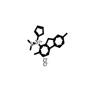 Cc1ccc2c(c1)Cc1c-2ccc(C)[c]1[Zr+2]([C]1=CC=CC1)=[Si](C)C.[Cl-].[Cl-]